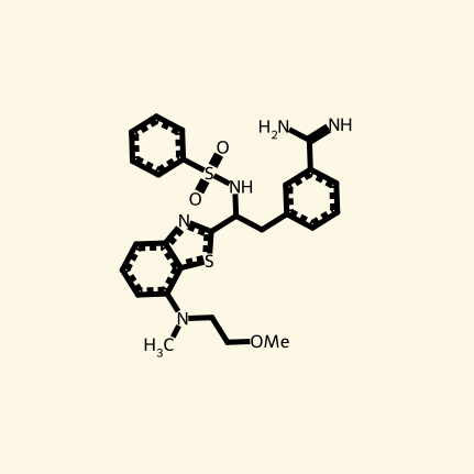 COCCN(C)c1cccc2nc(C(Cc3cccc(C(=N)N)c3)NS(=O)(=O)c3ccccc3)sc12